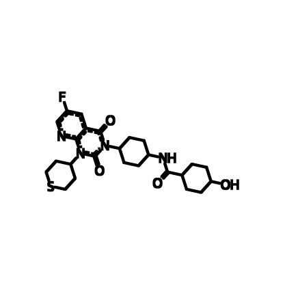 O=C(NC1CCC(n2c(=O)c3cc(F)cnc3n(C3CCSCC3)c2=O)CC1)C1CCC(O)CC1